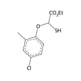 CCOC(=O)C(S)Oc1ccc(Cl)cc1C